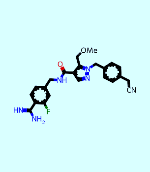 COCc1c(C(=O)NCc2ccc(C(=N)N)c(F)c2)cnn1Cc1ccc(CC#N)cc1